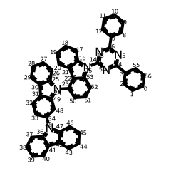 c1ccc(-c2nc(-c3ccccc3)nc(-n3c4ccccc4c4c(-n5c6ccccc6c6ccc(-n7c8ccccc8c8ccccc87)cc65)cccc43)n2)cc1